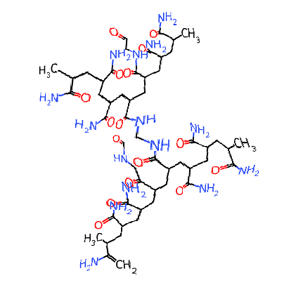 C=C(N)C(C)CC(CC(CC(CC(CC(CC(CC(C)C(N)=O)C(N)=O)C(N)=O)C(=O)NCNC(=O)C(CC(CC(CC(C)C(N)=O)C(N)=O)C(N)=O)CC(CC(CC(C)C(N)=O)C(N)=O)C(=O)NCC=O)C(=O)CNC=O)C(N)=O)C(N)=O